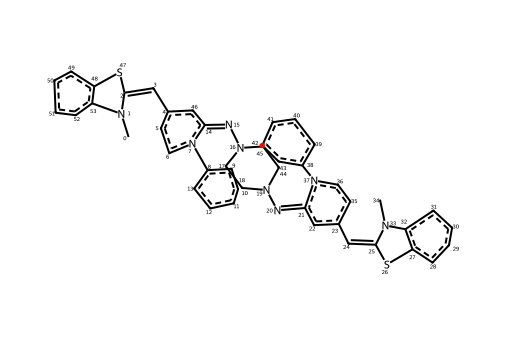 CN1/C(=C\c2ccn(-c3ccccc3)/c(=N\N3CCN(/N=c4/cc(/C=C5/Sc6ccccc6N5C)ccn4-c4ccccc4)CC3)c2)Sc2ccccc21